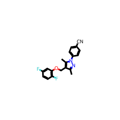 Cc1nn(-c2ccc(C#N)cc2)c(C)c1COc1cc(F)ccc1F